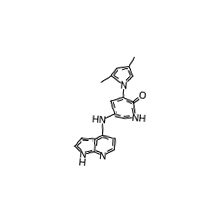 Cc1cc(C)n(-c2cc(Nc3ccnc4[nH]ccc34)c[nH]c2=O)c1